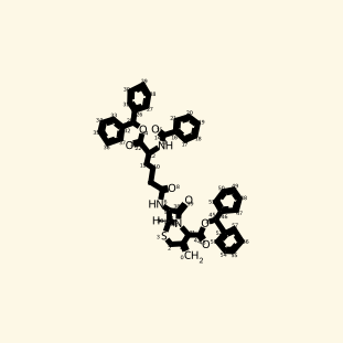 C=C1CS[C@H]2C(NC(=O)CCCC(NC(=O)c3ccccc3)C(=O)OC(c3ccccc3)c3ccccc3)C(=O)N2C1C(=O)OC(c1ccccc1)c1ccccc1